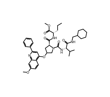 CCC[C@H](NC(=O)[C@@H]1CC(Oc2cc(-c3ccccc3)nc3cc(OC)ccc23)CN1C(=O)N[C@H](C(=O)NCC1CCCCC1)C(C)C)C(=O)OC